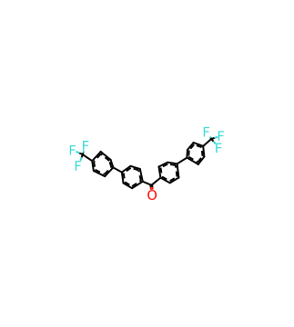 O=C(c1ccc(-c2ccc(C(F)(F)F)cc2)cc1)c1ccc(-c2ccc(C(F)(F)F)cc2)cc1